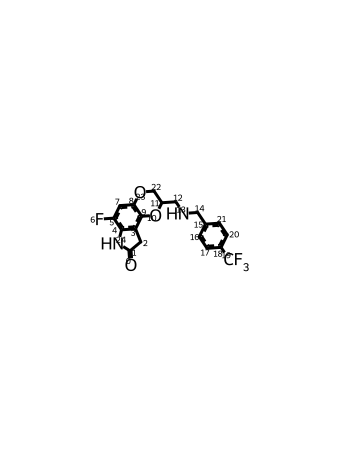 O=C1Cc2c(c(F)cc3c2OC(CNCc2ccc(C(F)(F)F)cc2)CO3)N1